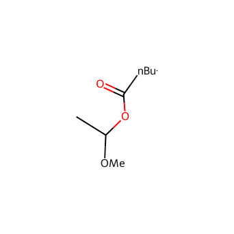 CCC[CH]C(=O)OC(C)OC